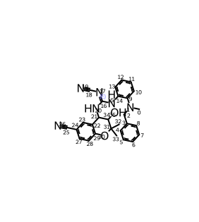 CN(Cc1ccccc1)c1ccccc1N/C(=N/C#N)NC1c2cc(C#N)ccc2OC(C)(C)C1O